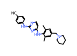 Cc1cc(CN2CCCCC2)cc(C)c1Nc1ccnc(Nc2ccc(C#N)cc2)n1